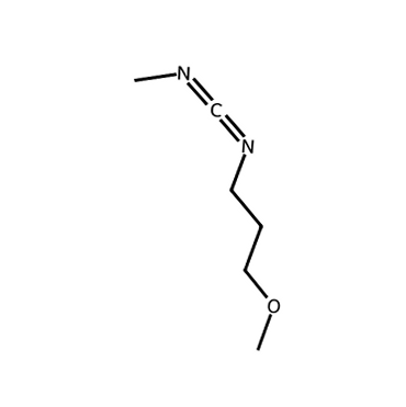 CN=C=NCCCOC